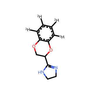 [2H]c1c([2H])c([2H])c2c(c1[2H])OCC(C1=NCCN1)O2